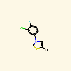 CC1=CN(c2ccc(F)c(Cl)c2)CS1